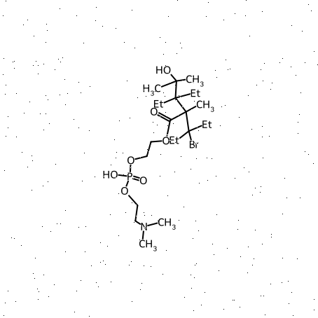 CCC(Br)(CC)C(C)(C(=O)OCCOP(=O)(O)OCCN(C)C)C(CC)(CC)C(C)(C)O